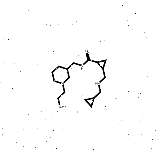 CNCCN1CCCC(CNC(=O)C2CC2CNCC2CC2)C1